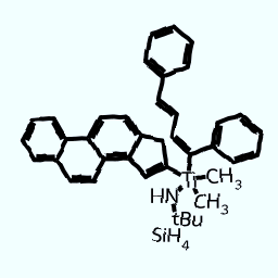 CC(C)(C)[NH][Ti]([CH3])([CH3])([C]1=Cc2c(ccc3c2ccc2ccccc23)C1)[C](=CC=Cc1ccccc1)c1ccccc1.[SiH4]